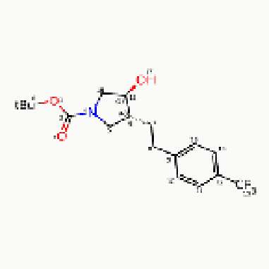 CC(C)(C)OC(=O)N1C[C@@H](CCc2ccc(C(F)(F)F)cc2)[C@H](O)C1